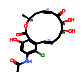 CC(=O)Nc1cc(O)c2c(c1Cl)/C=C/C[C@H](O)[C@H](O)C(=O)/C=C\C[C@H](C)OC2=O